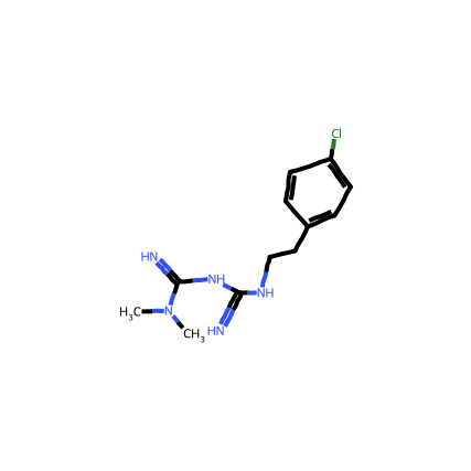 CN(C)C(=N)NC(=N)NCCc1ccc(Cl)cc1